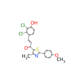 COc1ccc(-c2nc(C)c(C(=O)C=Cc3ccc(O)c(Cl)c3Cl)s2)cc1